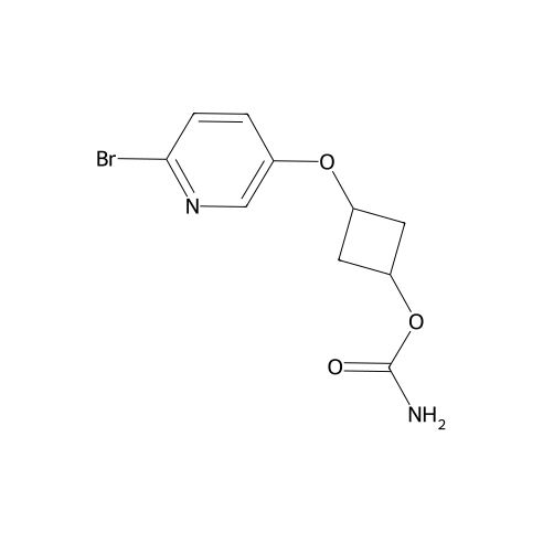 NC(=O)OC1CC(Oc2ccc(Br)nc2)C1